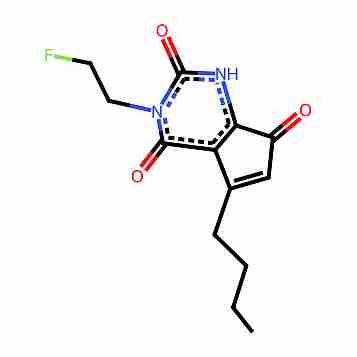 CCCCC1=CC(=O)c2[nH]c(=O)n(CCF)c(=O)c21